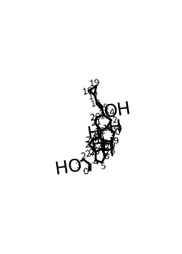 C=C(CO)[C@H]1CC[C@H]2[C@@H]3CC[C@H]4C[C@@](O)(C#CC5CC5)CC[C@@H]4[C@H]3CC[C@]12C